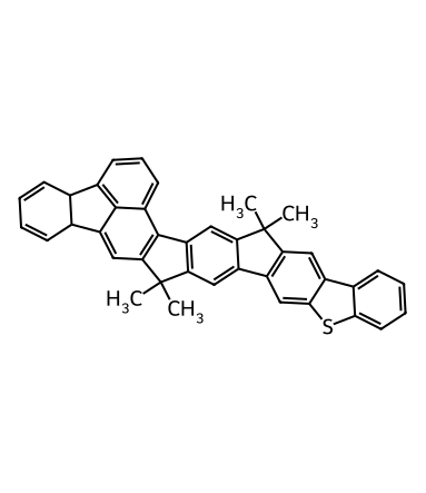 CC1(C)c2cc3c(cc2-c2cc4sc5ccccc5c4cc21)C(C)(C)c1cc2c4c(cccc4c1-3)C1C=CC=CC21